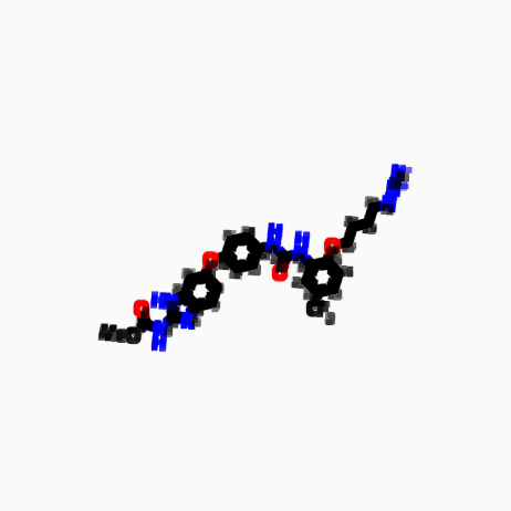 COC(=O)Nc1nc2ccc(Oc3ccc(NC(=O)Nc4cc(C(F)(F)F)ccc4OCCCCN=[N+]=[N-])cc3)cc2[nH]1